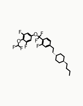 CCCC[C@H]1CC[C@H](CCc2ccc(C(F)(F)Oc3cc(F)c(OC(F)F)c(F)c3)c(F)c2)CC1